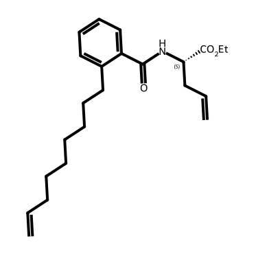 C=CCCCCCCCc1ccccc1C(=O)N[C@@H](CC=C)C(=O)OCC